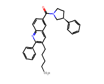 O=C(O)CCCCc1cc2cc(C(=O)N3CC[C@@H](c4ccccc4)C3)ccc2nc1-c1ccccc1